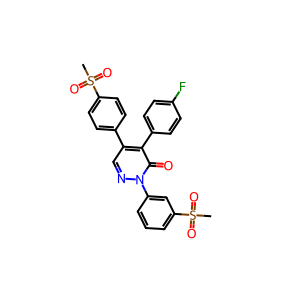 CS(=O)(=O)c1ccc(-c2cnn(-c3cccc(S(C)(=O)=O)c3)c(=O)c2-c2ccc(F)cc2)cc1